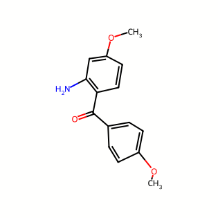 COc1ccc(C(=O)c2ccc(OC)cc2N)cc1